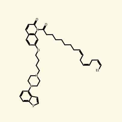 CC/C=C\C/C=C\C/C=C\CCCCCCCC(=O)n1c(=O)ccc2ccc(OCCCCN3CCN(c4cccc5sccc45)CC3)cc21